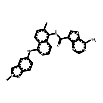 Cc1ccc2c(Nc3ccc4nn(C)cc4c3)nccc2c1NC(=O)c1csc2c(N)ncnc12